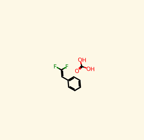 FC(F)=Cc1ccccc1.O=C(O)O